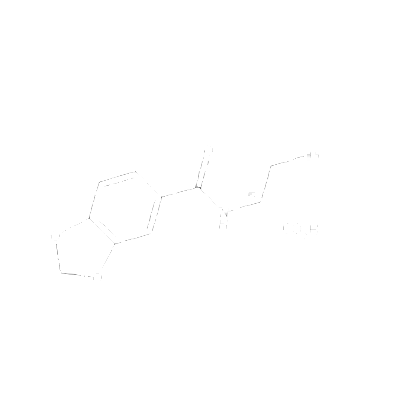 CC(C)C[C@@H](NC(=O)c1ccc2c(c1)OCO2)C(=O)O